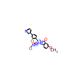 COc1ccc2c(c1)C(=O)N(C[C@H](NC(=O)NC=O)c1ccc(-c3cccnc3)cc1)C2